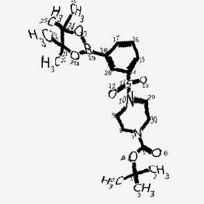 CC(C)(C)OC(=O)N1CCN(S(=O)(=O)c2cccc(B3OC(C)(C)C(C)(C)O3)c2)CC1